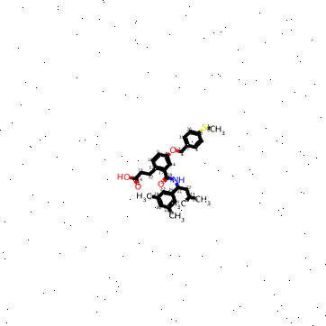 CSc1ccc(COc2ccc(CCC(=O)O)c(C(=O)NC(CC(C)C)c3cc(C)cc(C)c3)c2)cc1